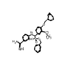 COc1cc(C(Nc2ccc(C(=N)N)cc2)P(=O)(O)OCc2ccccc2)ccc1OCc1ccccc1